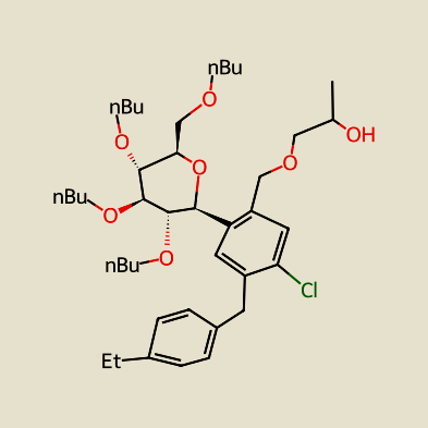 CCCCOC[C@H]1O[C@@H](c2cc(Cc3ccc(CC)cc3)c(Cl)cc2COCC(C)O)[C@H](OCCCC)[C@@H](OCCCC)[C@@H]1OCCCC